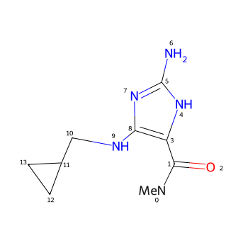 CNC(=O)c1[nH]c(N)nc1NCC1CC1